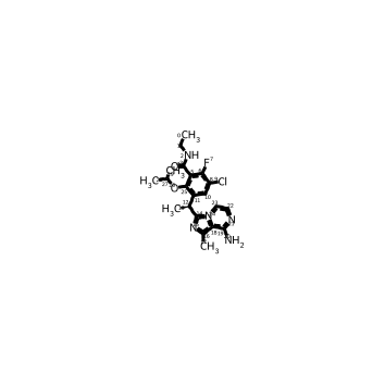 CCNC(=O)c1c(F)c(Cl)cc([C@H](C)c2nc(C)c3c(N)nccn23)c1OC(C)C